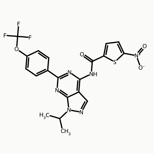 CC(C)n1ncc2c(NC(=O)c3ccc([N+](=O)[O-])s3)nc(-c3ccc(OC(F)(F)F)cc3)nc21